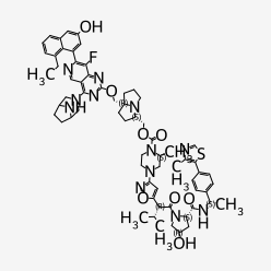 CCc1cccc2cc(O)cc(-c3ncc4c(N5CC6CCC(C5)N6)nc(OC[C@]56CCCN5[C@H](COC(=O)N5CCN(c7cc([C@H](C(=O)N8C[C@H](O)C[C@H]8C(=O)N[C@@H](C)c8ccc(-c9scnc9C)cc8)C(C)C)on7)C[C@@H]5C)CC6)nc4c3F)c12